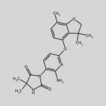 Cc1ccc(Oc2ccc(N3C(=O)NC(C)(C)C3=O)c(N)n2)c2c1OCC2(C)C